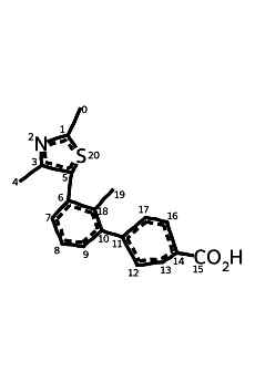 Cc1nc(C)c(-c2cccc(-c3ccc(C(=O)O)cc3)c2C)s1